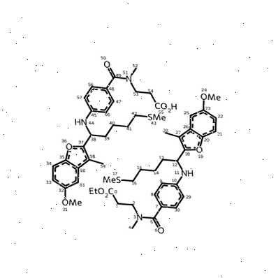 CCOC(=O)CCN(C)C(=O)c1ccc(NC(CCCCSC)c2oc3ccc(OC)cc3c2C)cc1.COc1ccc2oc(C(CCCCSC)Nc3ccc(C(=O)N(C)CCC(=O)O)cc3)c(C)c2c1